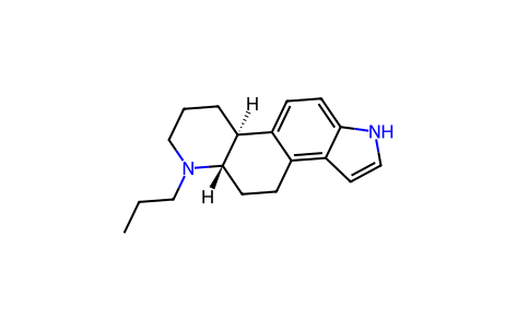 CCCN1CCC[C@H]2c3ccc4[nH]ccc4c3CC[C@@H]21